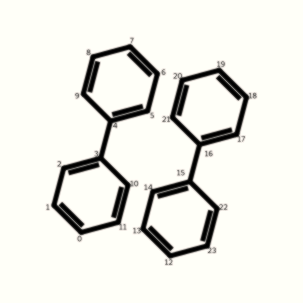 c1ccc(-c2ccccc2)cc1.c1ccc(-c2ccccc2)cc1